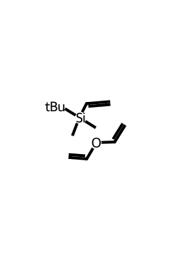 C=COC=C.C=C[Si](C)(C)C(C)(C)C